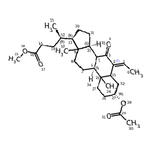 C/C=C1/C(=O)C2[C@H](CCC3(C)[C@@H]([C@H](C)CCC(=O)OC)CC[C@@H]23)C2(C)CC[C@@H](OC(C)=O)CC12